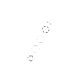 CS(=O)(=O)c1ccc(N2CCC(C3CCN(c4ncns4)CC3)CC2)cc1